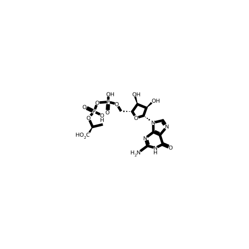 C[C@H](OP(=O)(O)OP(=O)(O)OC[C@H]1O[C@@H](n2cnc3c(=O)[nH]c(N)nc32)[C@H](O)[C@@H]1O)C(=O)O